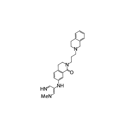 CN/C=C(\C=N)Nc1ccc2c(c1)C(=O)N(CCCN1CCc3ccccc3C1)CC2